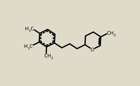 CC1=COC(CCCc2ccc(C)c(C)c2C)CC1